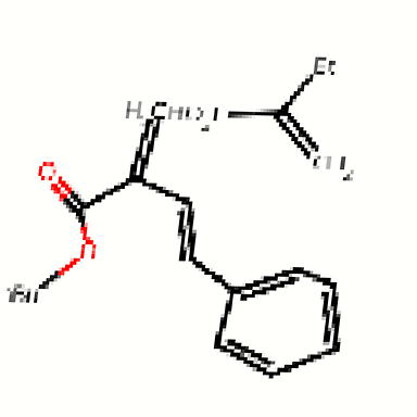 C=C(C=Cc1ccccc1)C(=O)OCCCC.C=C(CC)C(=O)O